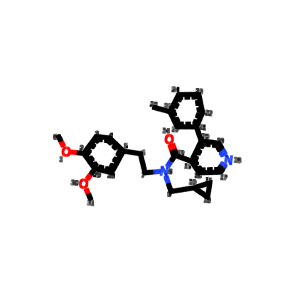 COc1ccc(CCN(CC2CC2)C(=O)c2ccncc2-c2cccc(C)c2)cc1OC